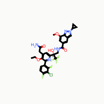 CCOc1c(CC(N)=O)cc([C@@](O)(CNC(=O)c2cc(OC)c3nn(C4CC4)cc3c2)C(F)(F)F)nc1-c1ccc(F)c(Cl)c1F